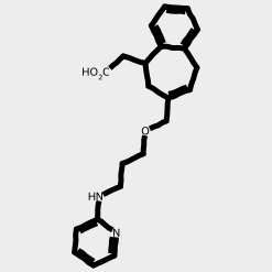 O=C(O)CC1CC(COCCCNc2ccccn2)=CCc2ccccc21